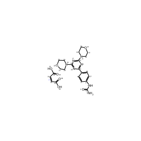 NC(=O)Nc1ccc(-c2nc(N3CCOCC3)nc(N3CCOCC3)n2)cc1.O=C(O)/C=C\C(=O)O